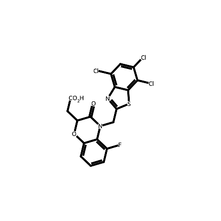 O=C(O)CC1Oc2cccc(F)c2N(Cc2nc3c(Cl)cc(Cl)c(Cl)c3s2)C1=O